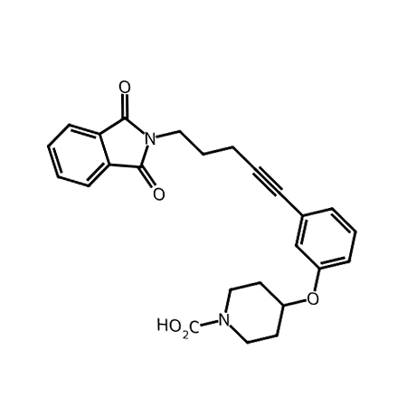 O=C(O)N1CCC(Oc2cccc(C#CCCCN3C(=O)c4ccccc4C3=O)c2)CC1